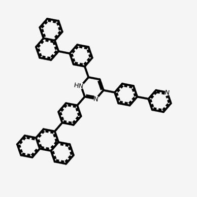 C1=C(c2ccc(-c3cccnc3)cc2)N=C(c2ccc(-c3cc4ccccc4c4ccccc34)cc2)NC1c1cccc(-c2cccc3ccccc23)c1